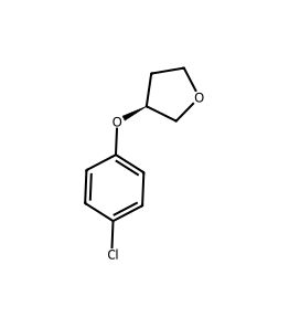 Clc1ccc(O[C@H]2CCOC2)cc1